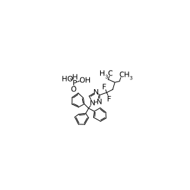 CCC(CC)CC(F)(F)c1ncn(C(c2ccccc2)(c2ccccc2)c2ccccc2)n1.O=[PH](O)O